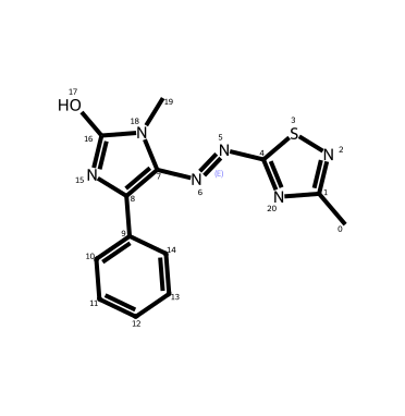 Cc1nsc(/N=N/c2c(-c3ccccc3)nc(O)n2C)n1